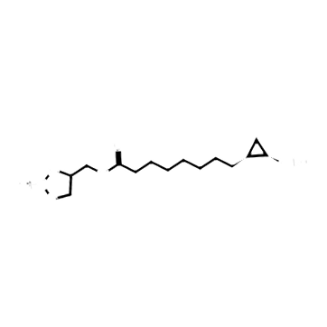 CCCCCC[C@@H]1C[C@@H]1CCCCCCCC(=O)OCC1CO[PH](=O)O1